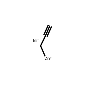 C#C[CH2][Zn+].[Br-]